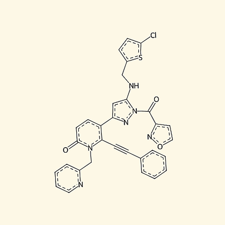 O=C(c1ccon1)n1nc(-c2ccc(=O)n(Cc3ccccn3)c2C#Cc2ccccc2)cc1NCc1ccc(Cl)s1